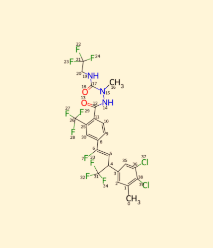 Cc1cc(C(C=C(F)c2ccc(C(=O)NN(C)C(=O)NCC(F)(F)F)c(C(F)(F)F)c2)C(F)(F)F)cc(Cl)c1Cl